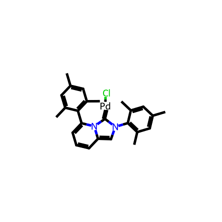 Cc1cc(C)c(-c2cccc3cn(-c4c(C)cc(C)cc4C)[c](=[Pd][Cl])n23)c(C)c1